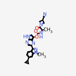 C[C@@H](NC(=O)Oc1c[nH]c2ncc(-c3nn(C)c4cc(C5CC5)ccc34)nc12)C(=O)N1CC(C#N)C1